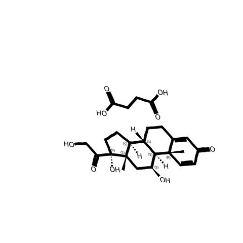 C[C@]12C=CC(=O)C=C1CC[C@@H]1[C@@H]2[C@@H](O)C[C@@]2(C)[C@H]1CC[C@]2(O)C(=O)CO.O=C(O)CCC(=O)O